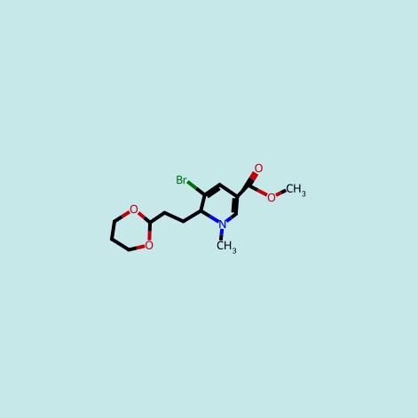 COC(=O)C1=CN(C)C(CCC2OCCCO2)C(Br)=C1